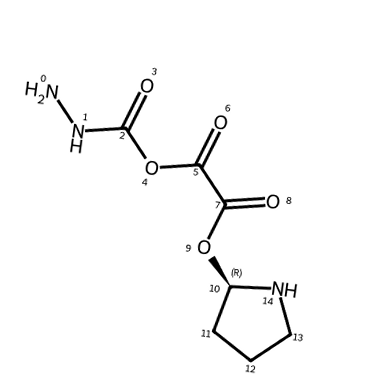 NNC(=O)OC(=O)C(=O)O[C@@H]1CCCN1